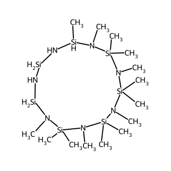 CN1[SiH2]N[SiH2]N[SiH](C)N(C)[Si](C)(C)N(C)[Si](C)(C)N(C)[Si](C)(C)N(C)[Si]1(C)C